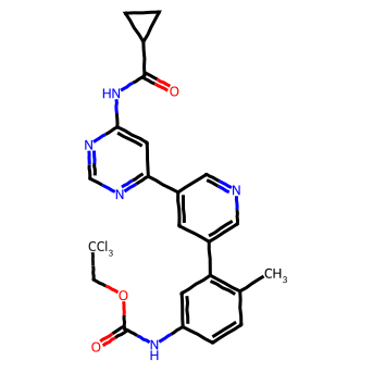 Cc1ccc(NC(=O)OCC(Cl)(Cl)Cl)cc1-c1cncc(-c2cc(NC(=O)C3CC3)ncn2)c1